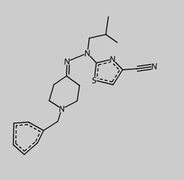 CC(C)CN(N=C1CCN(Cc2ccccc2)CC1)c1nc(C#N)cs1